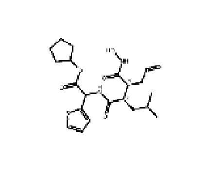 C=CC[C@H](C(=O)NO)[C@@H](CC(C)C)C(=O)NC(C(=O)OC1CCCC1)c1cccs1